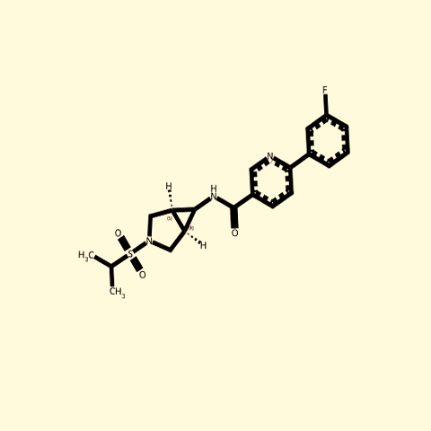 CC(C)S(=O)(=O)N1C[C@@H]2C(NC(=O)c3ccc(-c4cccc(F)c4)nc3)[C@@H]2C1